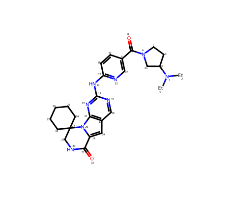 CCN(CC)C1CCN(C(=O)c2ccc(Nc3ncc4cc5n(c4n3)C3(CCCCC3)CNC5=O)nc2)C1